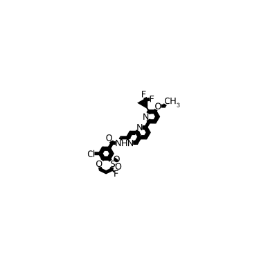 CCOc1ccc(-c2ccc3cnc(CNC(=O)c4cc(Cl)c5c(c4)S(=O)(=O)[C@@H](F)CCO5)cc3n2)nc1[C@H]1CC1(F)F